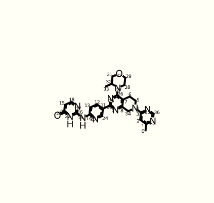 Cc1cc(N2CCc3c(nc(-c4ccc(Nc5nccc(=O)[nH]5)nc4)nc3N3CCOCC3C)C2)ncn1